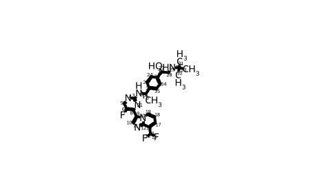 C[C@H](Nc1ncc(F)c(-c2cnc3c(C(F)F)cccn23)n1)c1ccc([C@H](O)CNC(C)(C)C)cc1